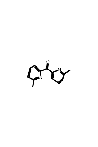 Cc1cccc(C(=O)c2cccc(C)n2)n1